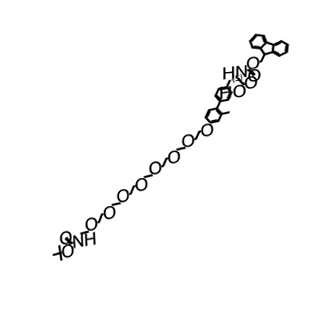 Cc1cc(OCCOCCOCCOCCOCCOCCOCCOCCNC(=O)OC(C)(C)C)ccc1-c1ccc(C[C@H](NC(=O)OCC2c3ccccc3-c3ccccc32)C(=O)O)cc1